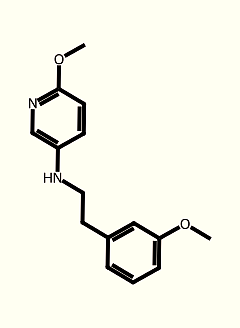 COc1cccc(CCNc2ccc(OC)nc2)c1